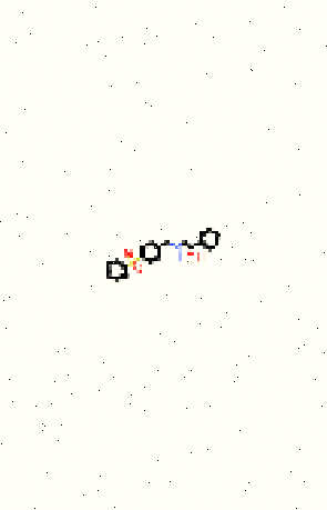 O=S(=O)(c1ccccc1)c1ccc(CNC[C@H](O)c2ccccc2)cc1